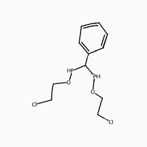 ClCCOPC(POCCCl)c1ccccc1